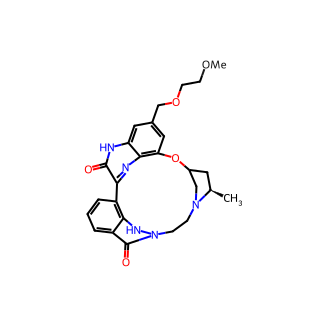 COCCOCc1cc2c3nc(c(=O)[nH]c3c1)-c1cccc3c(=O)n([nH]c13)CCN1CC(C[C@H]1C)O2